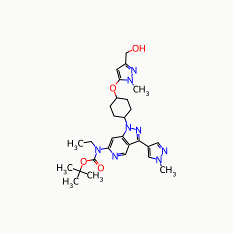 CCN(C(=O)OC(C)(C)C)c1cc2c(cn1)c(-c1cnn(C)c1)nn2C1CCC(Oc2cc(CO)nn2C)CC1